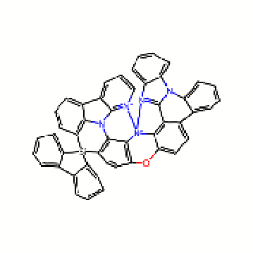 c1ccc2c(c1)-c1ccccc1[Si]21c2ccc3c4c2-n2c5c1cccc5c1ccc[n+](c12)[N+]41c2c(ccc4c5ccccc5n5c6ccccc6[n+]1c5c24)O3